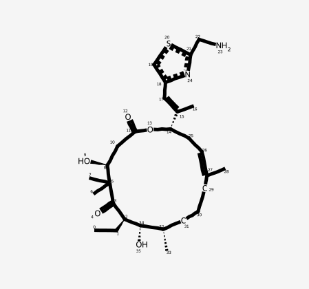 CC[C@H]1C(=O)C(C)(C)[C@@H](O)CC(=O)O[C@H](C(C)=Cc2csc(CN)n2)C/C=C(/C)CCC[C@H](C)[C@@H]1O